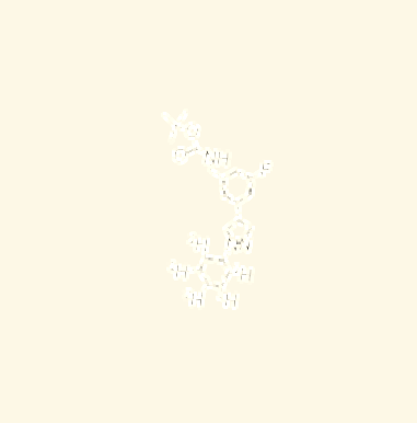 [2H]c1c([2H])c([2H])c(-n2cc(-c3cc(F)cc(CNC(=O)OC(C)(C)C)c3)cn2)c([2H])c1[2H]